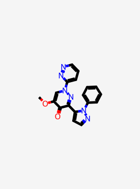 COc1cn(-c2cccnn2)nc(-c2ccnn2-c2ccccc2)c1=O